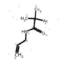 C=CCNC(=O)C(C)(C)C(C)=O